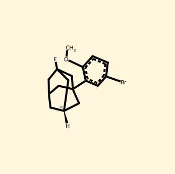 COc1ccc(Br)cc1C12CC3C[C@H](CC(F)(C3)C1)C2